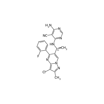 Cc1nn2cc([C@H](C)Nc3ncnc(N)c3C#N)c(-c3ccccc3F)nc2c1Cl